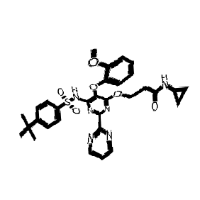 COc1ccccc1Oc1c(NS(=O)(=O)c2ccc(C(C)(C)C)cc2)nc(-c2ncccn2)nc1OCCC(=O)NC1CC1